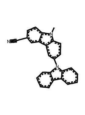 Cn1c2ccc(C#N)cc2c2cc(-n3c4ccccc4c4ccccc43)ccc21